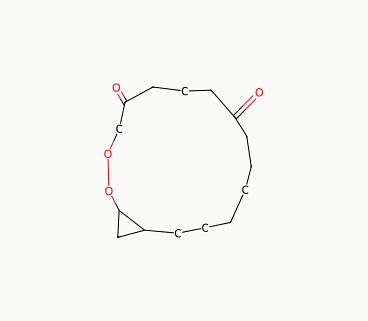 O=C1CCCCCCC2CC2OOCC(=O)CCC1